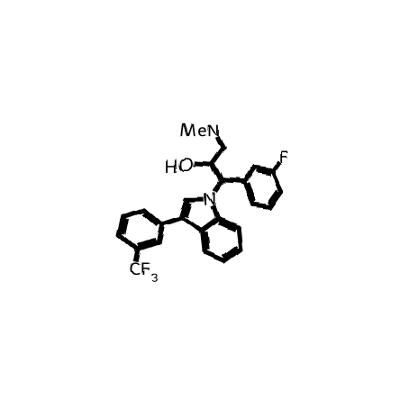 CNCC(O)C(c1cccc(F)c1)n1cc(-c2cccc(C(F)(F)F)c2)c2ccccc21